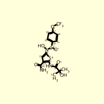 CC(C)(O)C(=O)Nc1sc(N(O)[S+]([O-])c2ccc(OC(F)(F)F)cc2)cc1C(N)=O